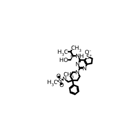 CC(C)[C@H](CO)Nc1nc(N2CCC(CN(C)S(C)(=O)=O)(c3ccccc3)CC2)nc2c1[S+]([O-])CC2